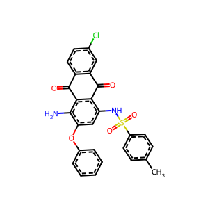 Cc1ccc(S(=O)(=O)Nc2cc(Oc3ccccc3)c(N)c3c2C(=O)c2cc(Cl)ccc2C3=O)cc1